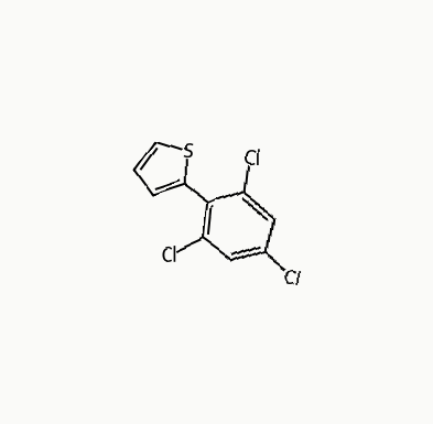 Clc1cc(Cl)c(-c2cccs2)c(Cl)c1